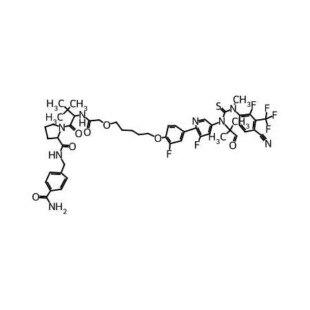 CN(C(=S)N(c1cnc(-c2ccc(OCCCCCOCC(=O)NC(C(=O)N3CCCC3C(=O)NCc3ccc(C(N)=O)cc3)C(C)(C)C)c(F)c2)c(F)c1)C(C)(C)C=O)c1ccc(C#N)c(C(F)(F)F)c1F